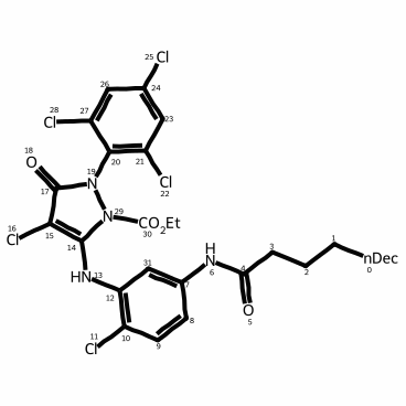 CCCCCCCCCCCCCC(=O)Nc1ccc(Cl)c(Nc2c(Cl)c(=O)n(-c3c(Cl)cc(Cl)cc3Cl)n2C(=O)OCC)c1